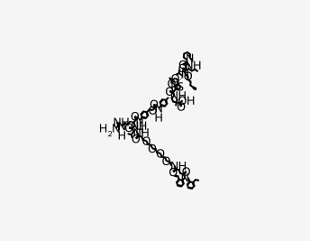 C#CCCCON(C(=O)[C@@H](NC(=O)[C@H]1CCCCN1C)[C@@H](C)CC)[C@H](C[C@@H](OC(C)=O)c1nc(C(=O)N[C@@H](Cc2ccc(NC(=O)OCc3ccc(NC(=O)[C@H](CCCNC(=N)N)NC(=O)[C@@H](NC(=O)CCOCCOCCOCCOCCNC(=O)CCC(=O)N(Cc4ccccc4CC)c4ccccc4C=C)C(C)C)cc3)cc2)CC(C)(C)C(=O)O)cs1)C(C)C